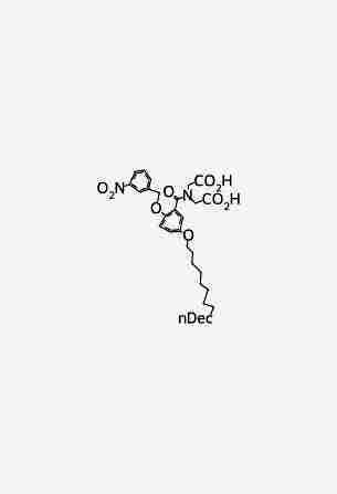 CCCCCCCCCCCCCCCCCCOc1ccc(OCc2cccc([N+](=O)[O-])c2)c(C(=O)N(CC(=O)O)CC(=O)O)c1